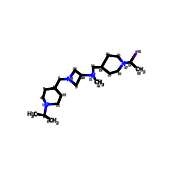 CC(C)N1CCC(CN2CC(N(C)CC3CCN(C(C)I)CC3)C2)CC1